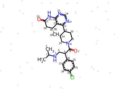 CC(C)NCC(C(=O)N1CCC(c2ncnc3c2[C@H](C)CC(=O)N3)CC1)c1ccc(Cl)cc1